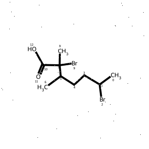 CC(Br)CCC(C)C(C)(Br)C(=O)O